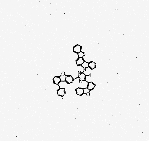 Ic1c(-c2cccc3oc4ccccc4c23)nc(-c2ccc3c(c2)oc2cccc(-c4ccccc4)c23)nc1-n1c2ccccc2c2c3sc4ccccc4c3ccc21